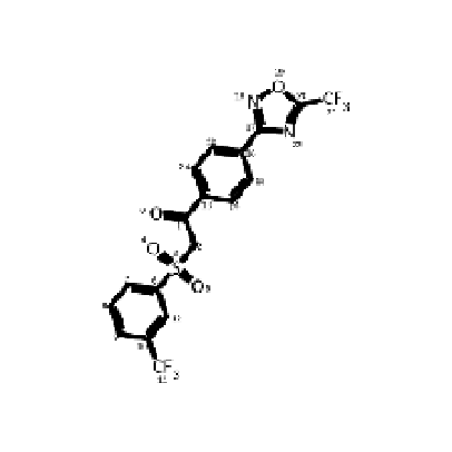 O=C(CS(=O)(=O)c1cccc(C(F)(F)F)c1)c1ccc(-c2noc(C(F)(F)F)n2)cc1